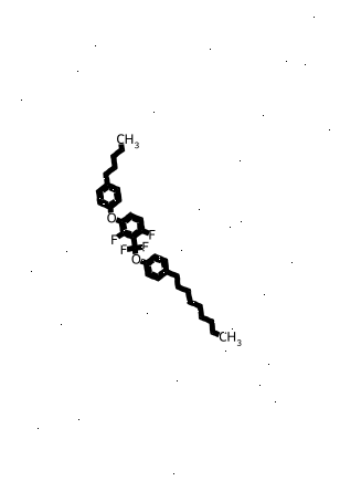 CCCCCCCCCc1ccc(OC(F)(F)c2c(F)c[c]c(Oc3ccc(CCCCC)cc3)c2F)cc1